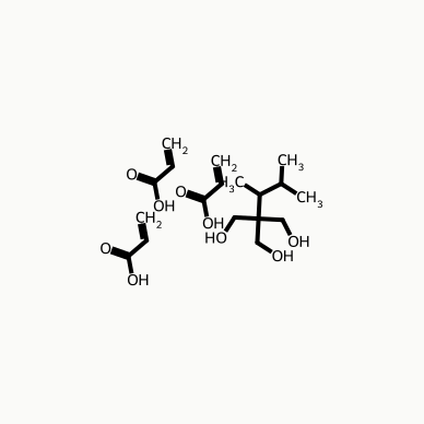 C=CC(=O)O.C=CC(=O)O.C=CC(=O)O.CC(C)C(C)C(CO)(CO)CO